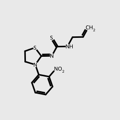 C=CCNC(=S)N=C1SCCN1c1ccccc1[N+](=O)[O-]